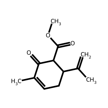 C=C(C)C1CC=C(C)C(=O)C1C(=O)OC